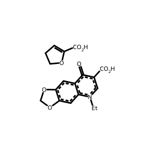 CCn1cc(C(=O)O)c(=O)c2cc3c(cc21)OCO3.O=C(O)C1=CCCO1